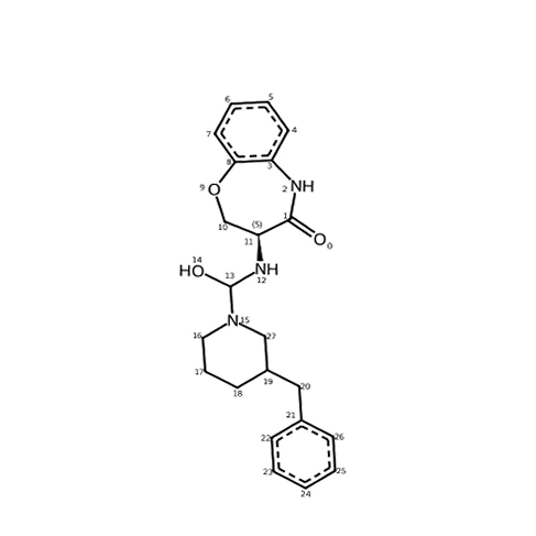 O=C1Nc2ccccc2OC[C@@H]1NC(O)N1CCCC(Cc2ccccc2)C1